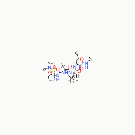 CC(C)N(C1CC1)S(=O)(=O)CC1(NC(=O)N[C@H](C(=O)N2C[C@H]3[C@@H]([C@H]2C(=O)N[C@@H](CCC2CC2)C(=O)C(=O)NC2CC2)C3(C)C)C(C)(C)C)CCCCC1